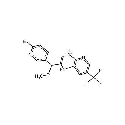 COC(C(=O)Nc1cc(C(F)(F)F)cnc1N)c1ccc(Br)nc1